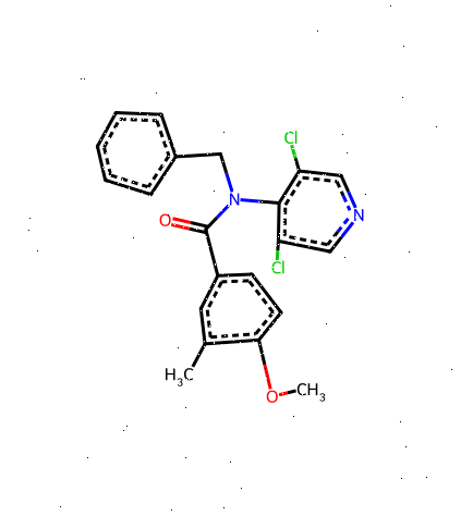 COc1ccc(C(=O)N(Cc2ccccc2)c2c(Cl)cncc2Cl)cc1C